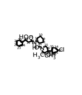 CC1(C)CN(C(=O)[C@H]2CCCC[C@H]2NC(=O)C[C@@H](O)c2ccccc2)CC[C@]1(O)c1ccc(Cl)cc1